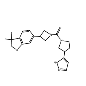 CC1(C)COc2cc(C3CN(C(=O)N4CCC(c5ccn[nH]5)C4)C3)ccc21